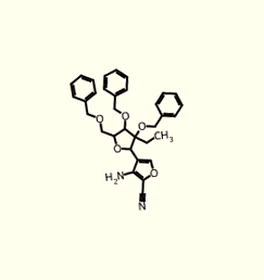 CCC1(OCc2ccccc2)C(c2coc(C#N)c2N)OC(COCc2ccccc2)C1OCc1ccccc1